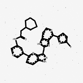 O=C(CC1CCCCC1)Nc1cncc(-c2ccc3[nH]nc(-c4nc5c(-c6ccc(F)s6)nccc5[nH]4)c3n2)c1